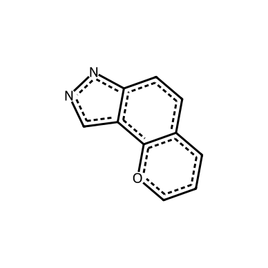 c1coc2c(c1)ccc1nncc12